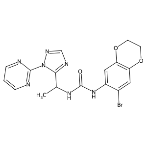 CC(NC(=O)Nc1cc2c(cc1Br)OCCO2)c1ncnn1-c1ncccn1